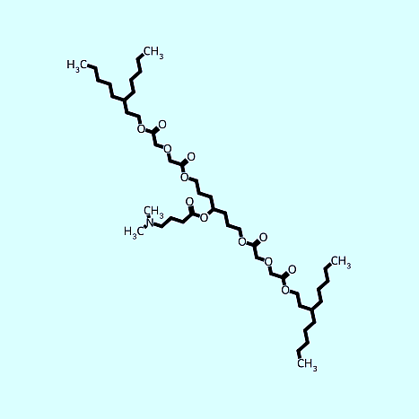 CCCCCC(CCCCC)CCOC(=O)COCC(=O)OCCCC(CCCOC(=O)COCC(=O)OCCC(CCCCC)CCCCC)OC(=O)CCCN(C)C